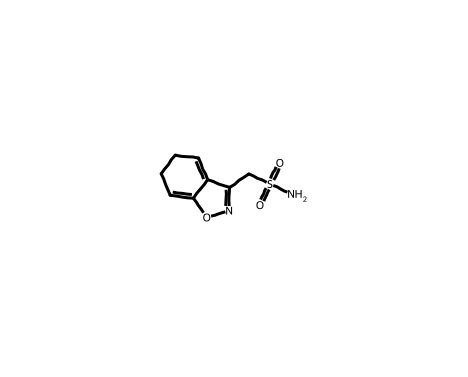 NS(=O)(=O)Cc1noc2c1=CCCC=2